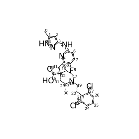 Cc1cc(Nc2ccc(F)c(C[C@@]3(C(=O)O)CCN(CCc4c(Cl)cccc4Cl)[C@H](C)C3)n2)n[nH]1